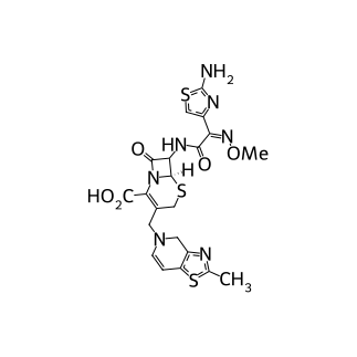 CO/N=C(\C(=O)NC1C(=O)N2C(C(=O)O)=C(CN3C=Cc4sc(C)nc4C3)CS[C@H]12)c1csc(N)n1